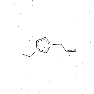 C=CCn1cc[n+](CC(C)C)c1